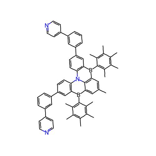 Cc1cc2c3c(c1)B(c1c(C)c(C)c(C)c(C)c1C)c1cc(-c4cccc(-c5ccncc5)c4)ccc1N3c1ccc(-c3cccc(-c4ccncc4)c3)cc1B2c1c(C)c(C)c(C)c(C)c1C